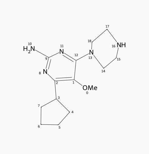 COc1c(C2CCCC2)nc(N)nc1N1CCNCC1